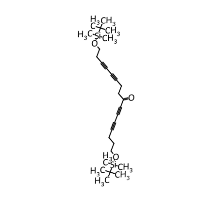 CC(C)(C)[Si](C)(C)OCCC#CC#CCCC(=O)C#CC#CCCCO[Si](C)(C)C(C)(C)C